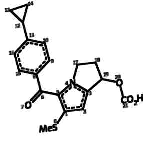 CSc1cc2n(c1C(=O)c1ccc(C3CC3)cc1)CCC2OC(=O)O